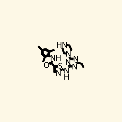 CCc1nc(Nc2ncc(C(=O)Nc3c(C)cc(C)cc3C)s2)nc(N2CCNCC2)n1